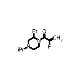 C=C(F)C(=O)N1CCN(C(C)C)CC1CC